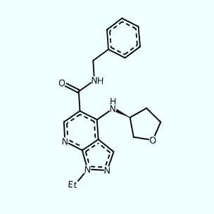 CCn1ncc2c(N[C@H]3CCOC3)c(C(=O)NCc3ccccc3)cnc21